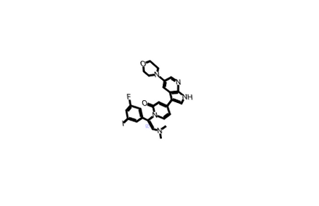 CN(C)/C=C(/c1cc(F)cc(I)c1)n1ccc(-c2c[nH]c3ncc(N4CCOCC4)cc23)cc1=O